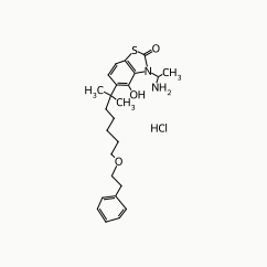 CC(N)n1c(=O)sc2ccc(C(C)(C)CCCCCOCCc3ccccc3)c(O)c21.Cl